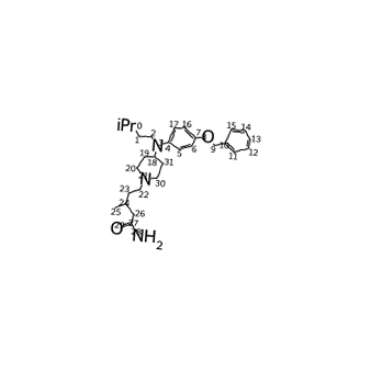 CC(C)CCN(c1ccc(OCc2ccccc2)cc1)C1CCN(CCC(C)CC(N)=O)CC1